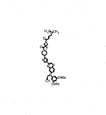 C#CCN(c1cc(OC)cc(OC)c1)c1ccc2ncc(-c3cnn(C4CCN(C(=O)C5(F)CN(C(=O)/C=C/CN(C)C)C5)CC4)c3)nc2c1